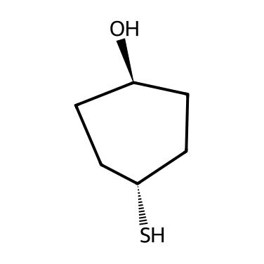 O[C@H]1CC[C@H](S)CC1